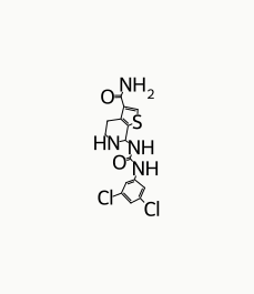 NC(=O)c1csc2c1CCNC2NC(=O)Nc1cc(Cl)cc(Cl)c1